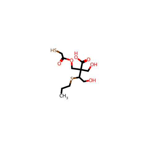 CCCSC(CO)C(CO)(COC(=O)CS)C(=O)O